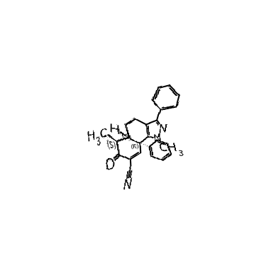 C[C@@H]1C(=O)C(C#N)=C[C@]2(c3ccccc3)c3c(c(-c4ccccc4)nn3C)CC[C@@H]12